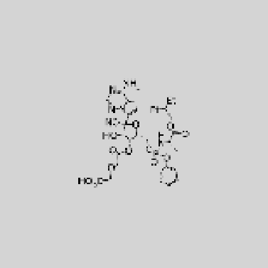 CCC(CC)COC(=O)[C@H](C)N[P@](=O)(OC[C@H]1O[C@@](C#N)(c2ccc3c(N)ncnn23)[C@H](O)[C@@H]1OC(=O)COCC(=O)O)Oc1ccccc1